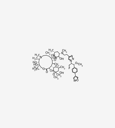 CC[C@H]1OC(=O)[C@H](C)[C@@H](C2C[C@@](C)(OC)[C@@H](O)[C@H](C)O2)[C@H](C)[C@@H](O[C@@H]2O[C@H](C)C[C@H](N(C)CCc3cn([C@H](CF)[C@H](OC)c4ccc(-c5cnoc5)cc4)nn3)[C@H]2O)[C@](C)(O)C[C@@H](C)CN(C)[C@H](C)[C@@H](O)[C@]1(C)O